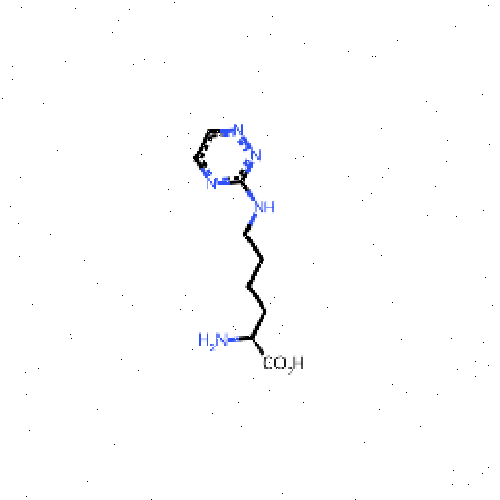 N[C@@H](CCCCNc1nccnn1)C(=O)O